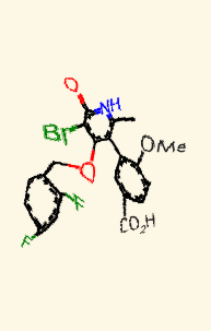 COc1ccc(C(=O)O)cc1-c1c(C)[nH]c(=O)c(Br)c1OCc1ccc(F)cc1F